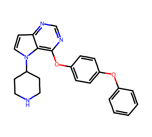 c1ccc(Oc2ccc(Oc3ncnc4ccn(C5CCNCC5)c34)cc2)cc1